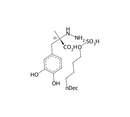 CCCCCCCCCCCCCCOS(=O)(=O)O.C[C@@](Cc1ccc(O)c(O)c1)(NN)C(=O)O